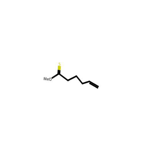 C=CCCCC(=S)OC